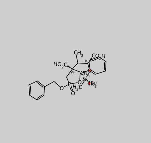 CC([C@H](O[Si](C)(C)C(C)(C)C)C(=O)O)[C@](C)(CP(=O)(OCc1ccccc1)OCc1ccccc1)C(=O)O